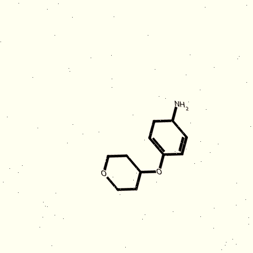 NC1C=CC(OC2CCOCC2)=CC1